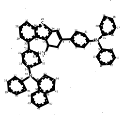 CC1CC(c2ccc(N(c3ccccc3)c3ccccc3)cc2)=Cc2sc3cccc(-c4ccc(N(c5ccccc5)c5cccc6ccccc56)cc4)c3c21